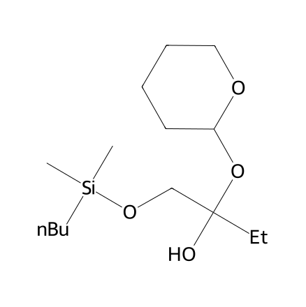 CCCC[Si](C)(C)OCC(O)(CC)OC1CCCCO1